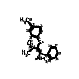 Cc1ccc(S/C(=C(/N)c2ccccc2)[S+](C)[O-])cc1